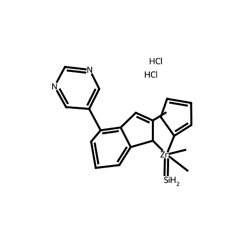 CC1=Cc2c(-c3cncnc3)cccc2[CH]1[Zr]([CH3])([CH3])(=[SiH2])[C]1=CC=CC1.Cl.Cl